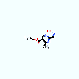 CCOC(=O)c1cnc(/C=N\O)nc1C